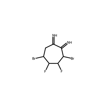 N=C1CC(Br)C(F)C(F)C(Br)C1=N